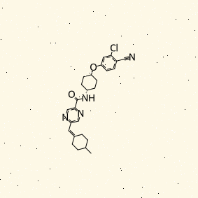 CC1CCC(=Cc2cnc(C(=O)N[C@H]3CC[C@H](Oc4ccc(C#N)c(Cl)c4)CC3)cn2)CC1